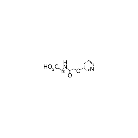 C[C@H](NC(=O)COc1cccnc1)C(=O)O